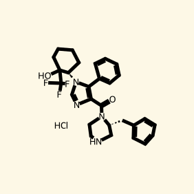 Cl.O=C(c1ncn([C@H]2CCCCC2(O)C(F)(F)F)c1-c1ccccc1)N1CCNC[C@H]1Cc1ccccc1